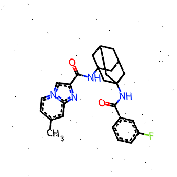 Cc1ccn2cc(C(=O)NC34CC5CC(CC(NC(=O)c6cccc(F)c6)(C5)C3)C4)nc2c1